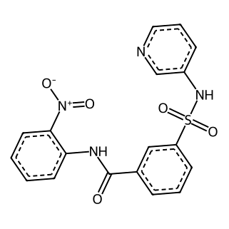 O=C(Nc1ccccc1[N+](=O)[O-])c1cccc(S(=O)(=O)Nc2cccnc2)c1